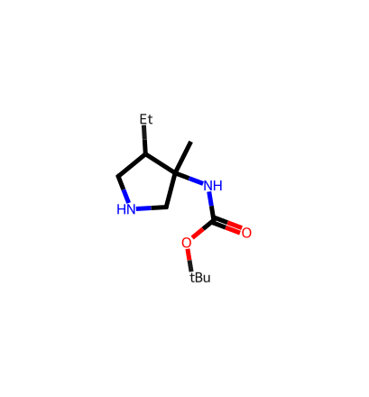 CCC1CNCC1(C)NC(=O)OC(C)(C)C